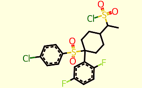 CC(C1CCC(c2cc(F)ccc2F)(S(=O)(=O)c2ccc(Cl)cc2)CC1)S(=O)(=O)Cl